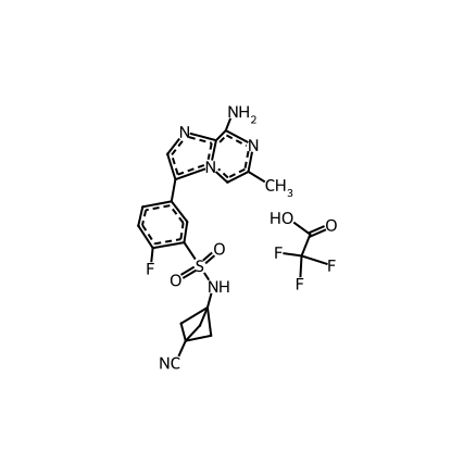 Cc1cn2c(-c3ccc(F)c(S(=O)(=O)NC45CC(C#N)(C4)C5)c3)cnc2c(N)n1.O=C(O)C(F)(F)F